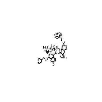 C[C@H](Cc1ccc(OCCC23CC4CC(CC(C4)C2)C3)cc1)NC[C@H](O[Si](C)(C)C(C)(C)C)c1ccc(OCc2ccccc2)c2[nH]c(=O)ccc12